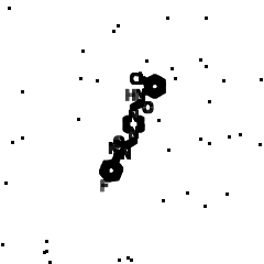 O=C(CN1CCN(Cc2nc(-c3ccc(F)cc3)no2)CC1)Nc1ccccc1Cl